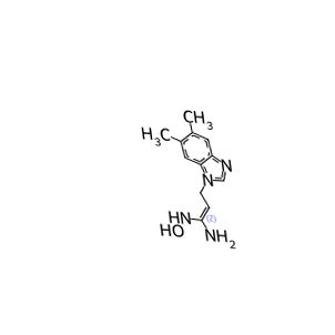 Cc1cc2ncn(C/C=C(/N)NO)c2cc1C